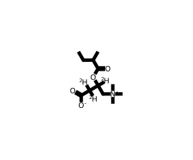 [2H]C(C[N+](C)(C)C)(OC(=O)C(C)CC)C([2H])([2H])C(=O)[O-]